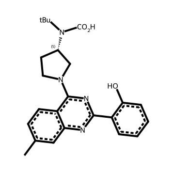 Cc1ccc2c(N3CC[C@H](N(C(=O)O)C(C)(C)C)C3)nc(-c3ccccc3O)nc2c1